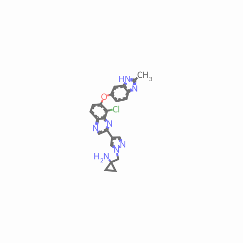 Cc1nc2ccc(Oc3ccc4ncc(-c5cnn(CC6(N)CC6)c5)nc4c3Cl)cc2[nH]1